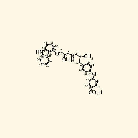 CC(CNCC(O)COc1cccc2[nH]c3ccccc3c12)Cc1ccc(Oc2ccc(C(=O)O)cn2)cc1